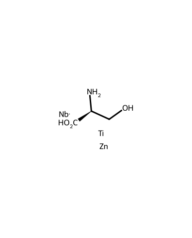 N[C@@H](CO)C(=O)O.[Nb].[Ti].[Zn]